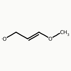 COC=CC[O]